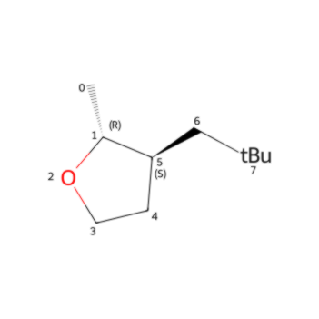 C[C@H]1OCC[C@@H]1CC(C)(C)C